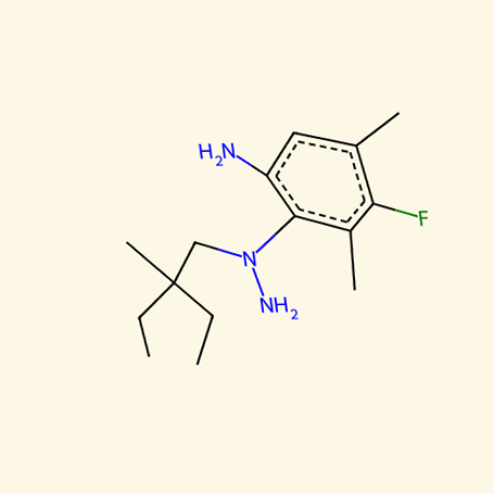 CCC(C)(CC)CN(N)c1c(N)cc(C)c(F)c1C